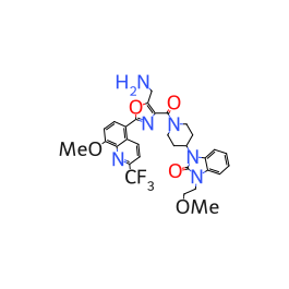 COCCn1c(=O)n(C2CCN(C(=O)c3nc(-c4ccc(OC)c5nc(C(F)(F)F)ccc45)oc3CN)CC2)c2ccccc21